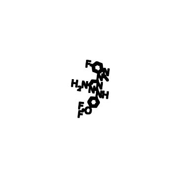 Cc1nc2ccc(F)cc2n1-c1cc(N)nc(Nc2ccc(OC(F)F)cc2)n1